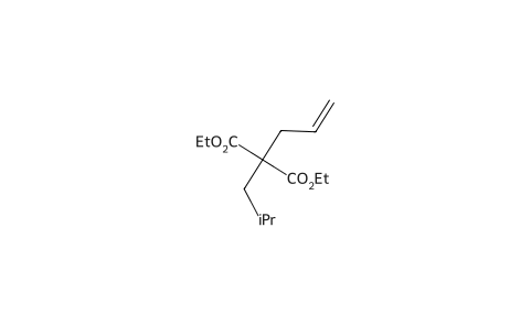 C=CCC(CC(C)C)(C(=O)OCC)C(=O)OCC